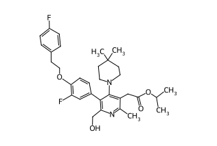 Cc1nc(CO)c(-c2ccc(OCCc3ccc(F)cc3)c(F)c2)c(N2CCC(C)(C)CC2)c1CC(=O)OC(C)C